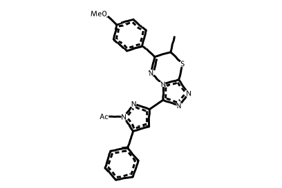 COc1ccc(C2=Nn3c(nnc3-c3cc(-c4ccccc4)n(C(C)=O)n3)SC2C)cc1